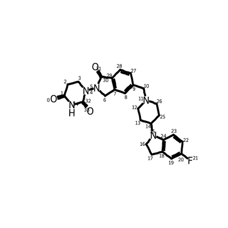 O=C1CCN(N2Cc3cc(CN4CCC(N5CCc6cc(F)ccc65)CC4)ccc3C2=O)C(=O)N1